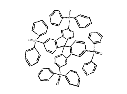 O=P(c1ccccc1)(c1ccccc1)c1ccc2c(c1)-c1cc(P(=O)(c3ccccc3)c3ccccc3)ccc1C21c2ccc(P(=O)(c3ccccc3)c3ccccc3)cc2-c2cc(P(=O)(c3ccccc3)c3ccccc3)ccc21